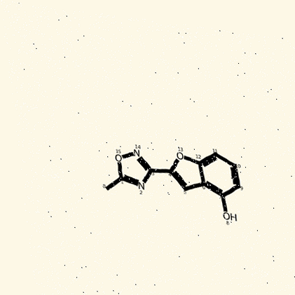 Cc1nc(-c2cc3c(O)cccc3o2)no1